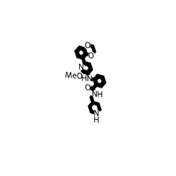 COc1nc(-c2cccc3c2OCCO3)ccc1Nc1ccccc1C(=O)NCC1CCNCC1